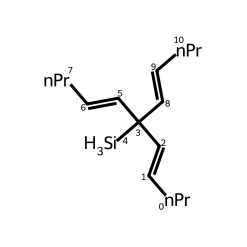 CCC/C=C/C([SiH3])(/C=C/CCC)/C=C/CCC